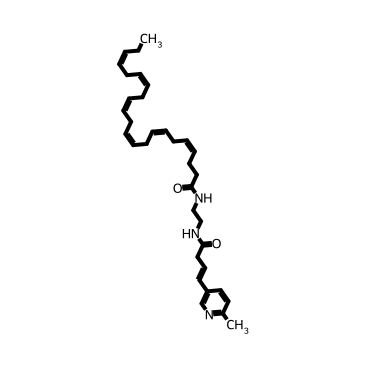 CC/C=C\C/C=C\C/C=C\C/C=C\C/C=C\C/C=C\CCC(=O)NCCNC(=O)C/C=C/c1ccc(C)nc1